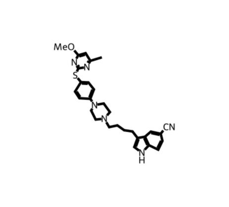 COc1cc(C)nc(Sc2ccc(N3CCN(CCCCc4c[nH]c5ccc(C#N)cc45)CC3)cc2)n1